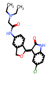 CCN(CC)CC(=O)Nc1ccc2c(c1)COC2=C1C(=O)Nc2ccc(Cl)cc21